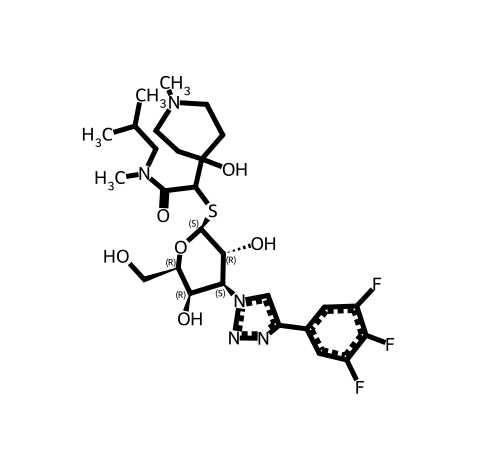 CC(C)CN(C)C(=O)C(S[C@@H]1O[C@H](CO)[C@H](O)[C@H](n2cc(-c3cc(F)c(F)c(F)c3)nn2)[C@H]1O)C1(O)CCN(C)CC1